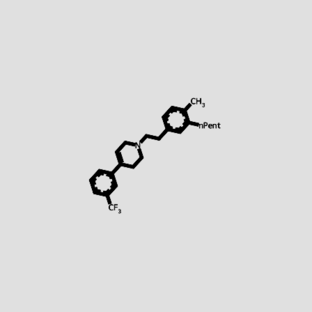 CCCCCc1cc(CCN2CC=C(c3cccc(C(F)(F)F)c3)CC2)ccc1C